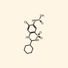 O=S(O)Nc1cc2c(cc1Cl)NC(C1CCCCC1)NS2(=O)=O